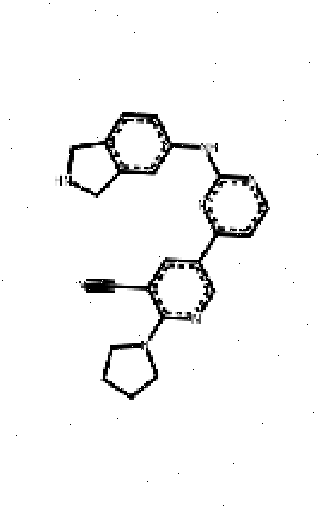 N#Cc1cc(-c2ccnc(Nc3ccc4c(c3)CNC4)n2)cnc1N1CCCC1